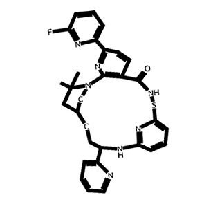 CC1(C)CC2CCC(c3ccccn3)Nc3cccc(n3)SNC(=O)c3ccc(-c4cccc(F)n4)nc3N1C2